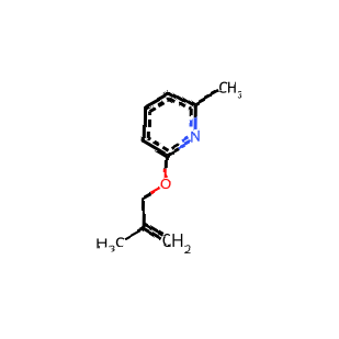 C=C(C)COc1cccc(C)n1